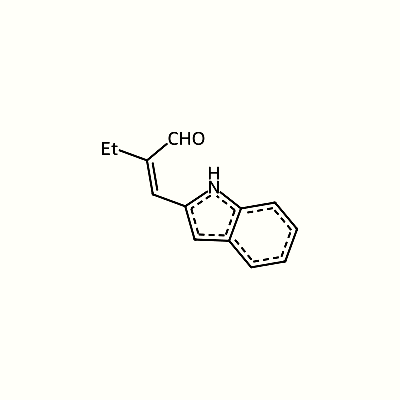 CCC(C=O)=Cc1cc2ccccc2[nH]1